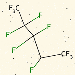 F[C](C(F)(F)F)C(F)(F)C(F)(F)C(F)(F)F